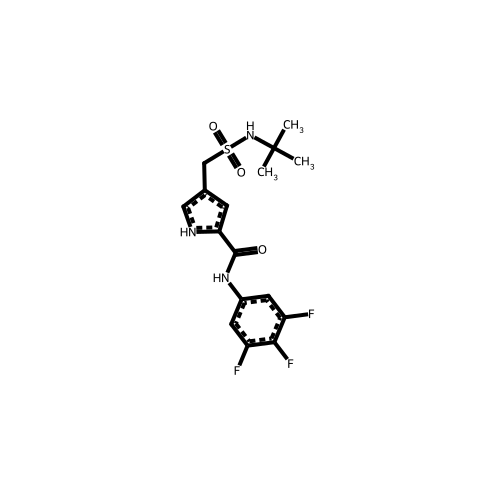 CC(C)(C)NS(=O)(=O)Cc1c[nH]c(C(=O)Nc2cc(F)c(F)c(F)c2)c1